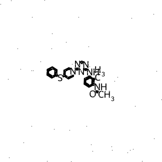 CC(=O)Nc1cccc(Nc2ncnc(N3CCC(Sc4ccccc4)CC3)n2)c1C